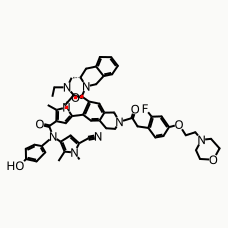 CCN(C[C@@H]1Cc2ccccc2CN1C(=O)c1cc2c(cc1-c1cc(C(=O)N(c3ccc(O)cc3)c3cc(C#N)n(C)c3C)c(C)n1C)CCN(C(=O)Cc1ccc(OCCN3CCOCC3)cc1F)C2)C(C)C